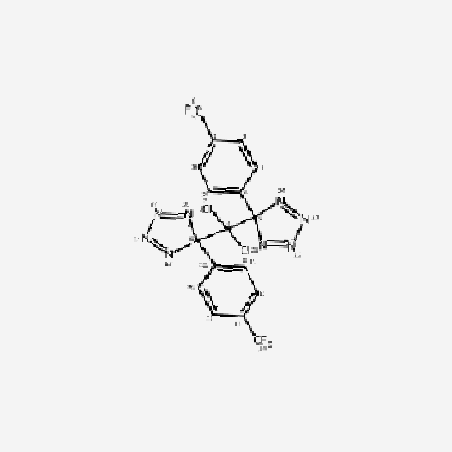 FC(F)(F)c1ccc(C2(C(Cl)(Cl)C3(c4ccc(C(F)(F)F)cc4)N=NN=N3)N=NN=N2)cc1